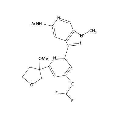 COC1(c2cc(OC(F)F)cc(-c3cn(C)c4cnc(NC(C)=O)cc34)n2)CCOC1